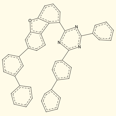 c1ccc(-c2ccc(-c3nc(-c4ccccc4)nc(-c4cccc5oc6cc(-c7cccc(-c8ccccc8)c7)ccc6c45)n3)cc2)cc1